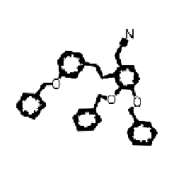 N#CCc1ccc(OCc2ccccc2)c(OCc2ccccc2)c1CCc1cccc(OCc2ccccc2)c1